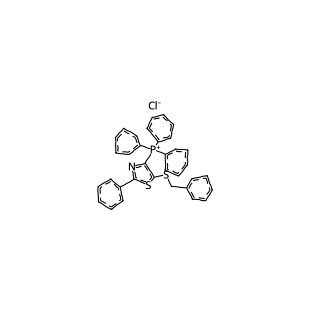 [Cl-].c1ccc(CSc2sc(-c3ccccc3)nc2[P+](c2ccccc2)(c2ccccc2)c2ccccc2)cc1